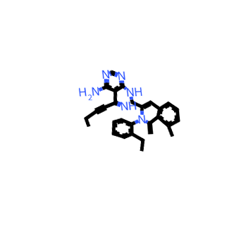 C=C1c2c(C)cccc2C=C(CNc2ncnc(N)c2C(=N)C#CCC)N1c1ccccc1CC